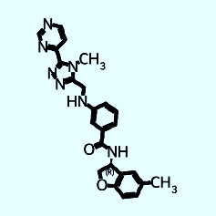 Cc1ccc2c(c1)[C@@H](NC(=O)c1cccc(NCc3nnc(-c4ccncn4)n3C)c1)CO2